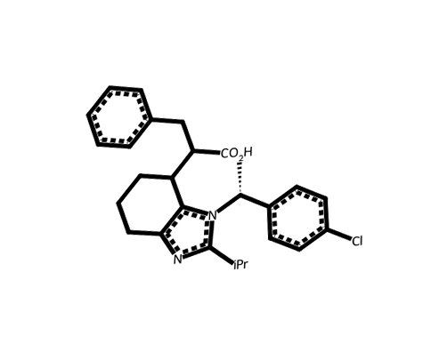 CC(C)c1nc2c(n1[C@H](C)c1ccc(Cl)cc1)C(C(Cc1ccccc1)C(=O)O)CCC2